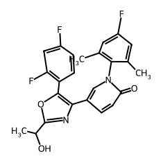 Cc1cc(F)cc(C)c1-n1cc(-c2nc(C(C)O)oc2-c2ccc(F)cc2F)ccc1=O